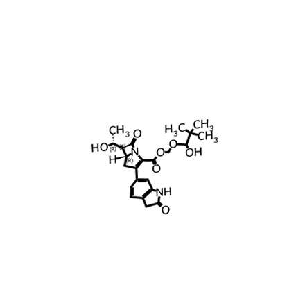 C[C@@H](O)[C@H]1C(=O)N2C(C(=O)OCOC(O)C(C)(C)C)=C(c3ccc4c(c3)NC(=O)C4)C[C@H]12